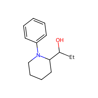 CCC(O)C1CCCCN1c1ccccc1